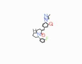 COc1cc(/C=C2\CC[C@@H]3CCC[C@H](c4cccc(F)c4)N3C2=O)ccc1-n1cnc(C)c1